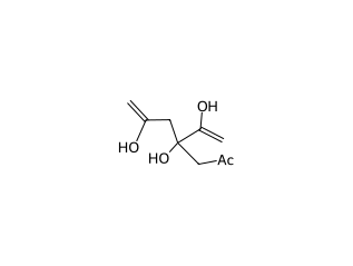 C=C(O)CC(O)(CC(C)=O)C(=C)O